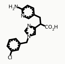 Nc1ccc(CC(C(=O)O)c2cn(Cc3cccc(Cl)c3)cn2)cn1